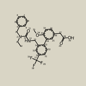 CCN(Cc1ccccc1)C(=O)NCc1cc(C(F)(F)F)ccc1-c1cc(CC(=O)O)ccc1OC